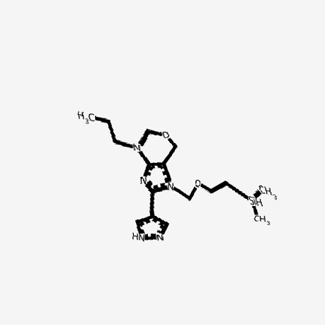 CCCN1COCc2c1nc(-c1cn[nH]c1)n2COCC[SiH](C)C